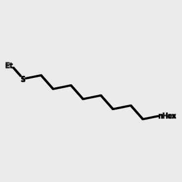 CCCCCCCCCCCCCCSCC